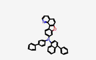 c1ccc(-c2ccc(N(c3ccc4c(c3)oc3ccc5cccnc5c34)c3ccc(-c4ccccc4)c4ccccc34)cc2)cc1